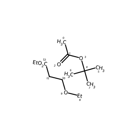 CC(=O)OC(C)(C)C.CCOCCC(=O)OCC